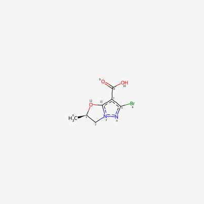 C[C@@H]1Cn2nc(Br)c(C(=O)O)c2O1